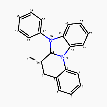 C[C@H]1Cc2ccccc2N2c3ccccc3N(c3ccccc3)C12